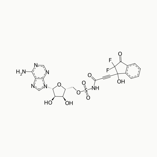 Nc1ncnc2c1ncn2[C@@H]1O[C@H](COS(=O)(=O)NC(=O)C#CC2(O)c3ccccc3C(=O)C2(F)F)[C@@H](O)[C@H]1O